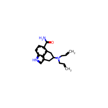 C=CCN(CC=C)C1Cc2c[nH]c3ccc(C(N)=O)c(c23)C1